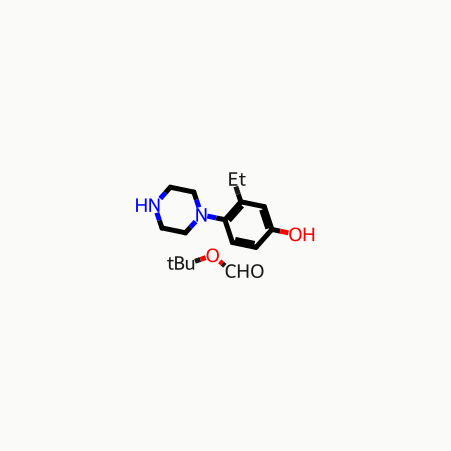 CC(C)(C)OC=O.CCc1cc(O)ccc1N1CCNCC1